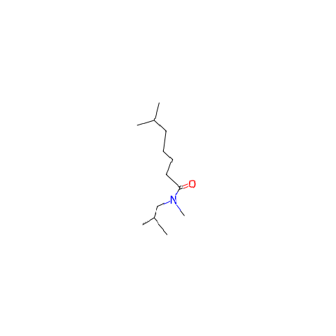 CC(C)CCCCC(=O)N(C)CC(C)C